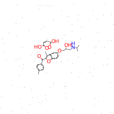 Cc1ccc(C(=O)c2oc3ccc(OCC(O)CNC(C)C)cc3c2C)cc1.O=C(O)/C=C\C(=O)O